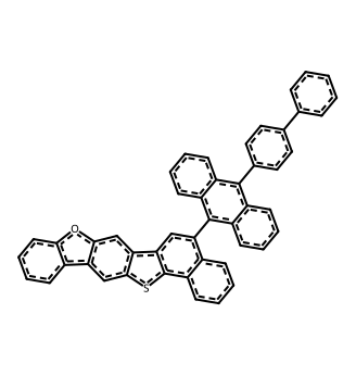 c1ccc(-c2ccc(-c3c4ccccc4c(-c4cc5c6cc7oc8ccccc8c7cc6sc5c5ccccc45)c4ccccc34)cc2)cc1